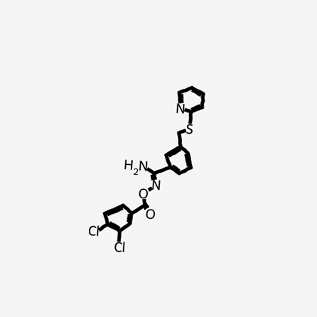 N/C(=N\OC(=O)c1ccc(Cl)c(Cl)c1)c1cccc(CSc2ccccn2)c1